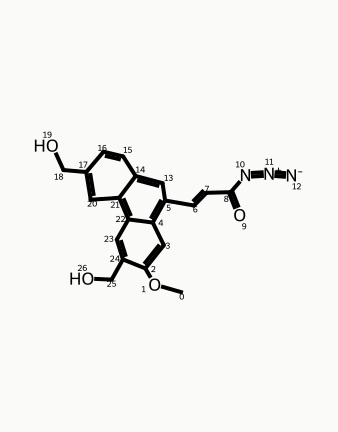 COc1cc2c(/C=C/C(=O)N=[N+]=[N-])cc3ccc(CO)cc3c2cc1CO